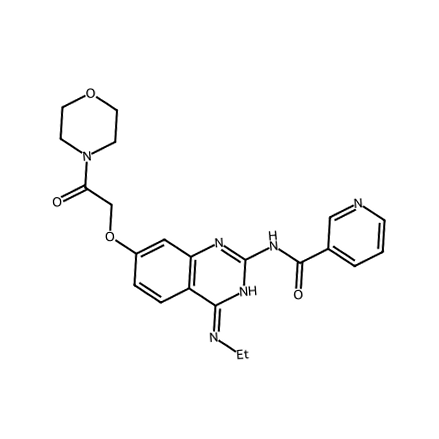 CC/N=c1\[nH]c(NC(=O)c2cccnc2)nc2cc(OCC(=O)N3CCOCC3)ccc12